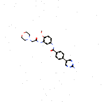 COc1ccc(NC(=O)c2ccc(-c3cnc(N)nc3)cc2)cc1NC(=O)CN1CCOCC1